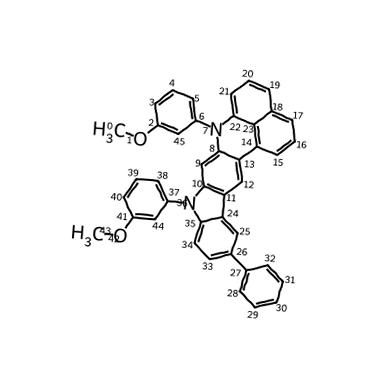 COc1cccc(N2c3cc4c(cc3-c3cccc5cccc2c35)c2cc(-c3ccccc3)ccc2n4-c2cccc(OC)c2)c1